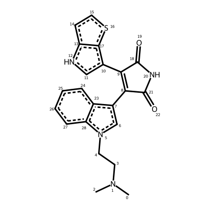 CN(C)CCn1cc(C2=C(c3c[nH]c4ccsc34)C(=O)NC2=O)c2ccccc21